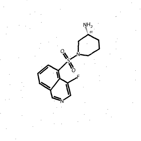 N[C@@H]1CCCN(S(=O)(=O)c2cccc3cncc(F)c23)C1